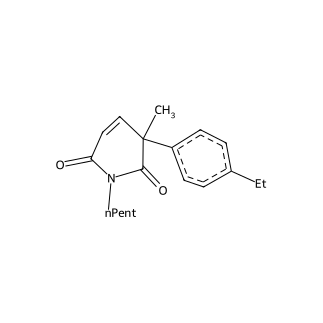 CCCCCN1C(=O)C=CC(C)(c2ccc(CC)cc2)C1=O